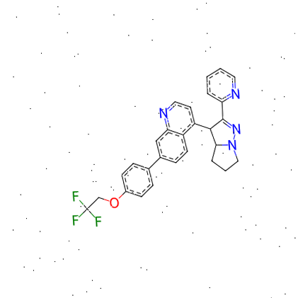 FC(F)(F)COc1ccc(-c2ccc3c(C4C(c5ccccn5)=NN5CCCC45)ccnc3c2)cc1